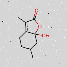 CC1=C2CCC(C)CC2(O)OC1=O